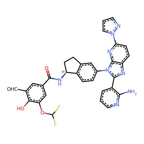 Nc1ncccc1-c1nc2ccc(-n3cccn3)nc2n1-c1ccc2c(c1)CC[C@@H]2NC(=O)c1cc(C=O)c(O)c(OC(F)F)c1